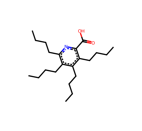 CCCCc1nc(C(=O)O)c(CCCC)c(CCCC)c1CCCC